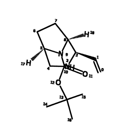 C=C[C@H]1NC[C@H]2CC[C@@H]1N2C(=O)OC(C)(C)C